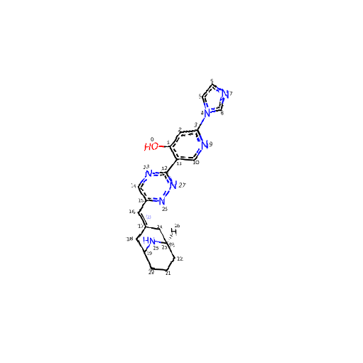 Oc1cc(-n2ccnc2)ncc1-c1ncc(/C=C2/CC3CCC[C@H](C2)N3)nn1